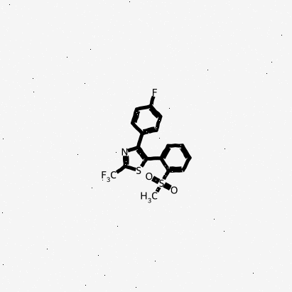 CS(=O)(=O)c1ccccc1-c1sc(C(F)(F)F)nc1-c1ccc(F)cc1